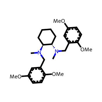 COc1ccc(OC)c(CN(C)[C@H]2CCCC[C@@H]2N(C)Cc2cc(OC)ccc2OC)c1